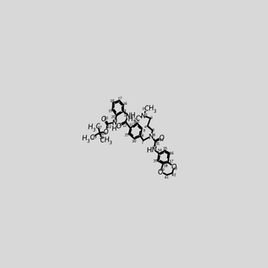 CN(C)CCCN(Cc1ccc(C(=O)Nc2ccccc2NC(=O)OC(C)(C)C)cc1)C(=O)Nc1ccc2c(c1)OCCO2